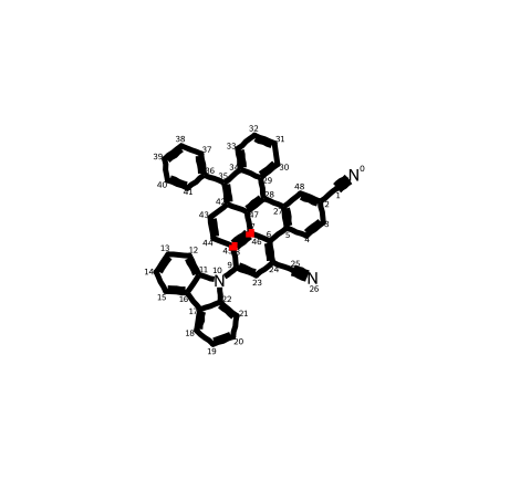 N#Cc1ccc(-c2ccc(-n3c4ccccc4c4ccccc43)cc2C#N)c(-c2c3ccccc3c(-c3ccccc3)c3ccccc23)c1